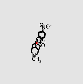 CN1CC2CN(C)CC(C1)C2OC(=O)c1ccc([N+](=O)[O-])cc1